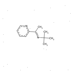 C/C(=N\C(C)(C)C)c1ccccn1